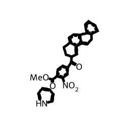 C1=CC=CNC=C1.COC(=O)c1ccc(C(=O)C2C=c3c(ccc4c3=CCc3ccccc3-4)CC2)cc1[N+](=O)[O-]